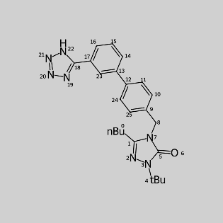 CCCCc1nn(C(C)(C)C)c(=O)n1Cc1ccc(-c2cccc(-c3nnn[nH]3)c2)cc1